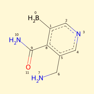 Bc1cncc(CN)c1C(N)=O